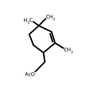 CC(=O)OCC1CCC(C)(C)C=C1C